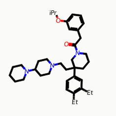 CCc1ccc(C2(CCN3CCC(N4CCCCC4)CC3)CCCN(C(=O)Cc3cccc(OC(C)C)c3)C2)cc1CC